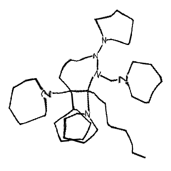 CCCCCC1(N2CCCC2)N(N2CCCCC2)N(N2CCCC2)CCC1(C1CCCC1)N1CCCCC1